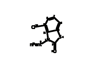 CCCCCn1c(=O)sc2cccc(Cl)c21